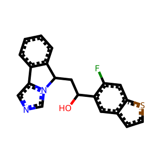 OC(CC1c2ccccc2-c2cncn21)c1cc2ccsc2cc1F